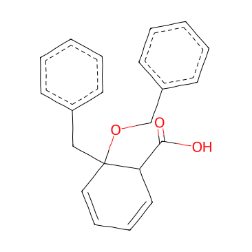 O=C(O)C1C=CC=CC1(Cc1ccccc1)OCc1ccccc1